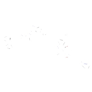 C=C1C[C@@H](C2OCCN2C(=O)OCC(C)SSc2ccccn2)N(C(=O)c2cc(OC)c(OCCCCCOc3cc(N)c(C(=O)N4CC(=C)C[C@H]4C4OCCN4C(=O)OCC4c5ccccc5-c5ccccc54)cc3OC)cc2N)C1